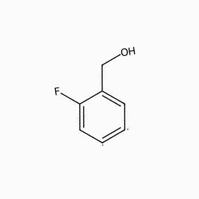 OCc1c[c][c]cc1F